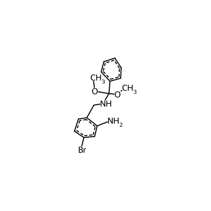 COC(NCc1ccc(Br)cc1N)(OC)c1ccccc1